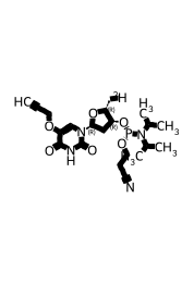 [2H]C[C@H]1O[C@@H](n2cc(OCC#C)c(=O)[nH]c2=O)C[C@H]1OP(OCCC#N)N(C(C)C)C(C)C